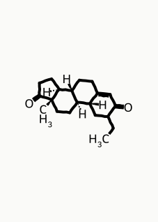 CCC1C[C@H]2C(=CC1=O)CC[C@@H]1[C@@H]2CC[C@]2(C)C(=O)CC[C@@H]12